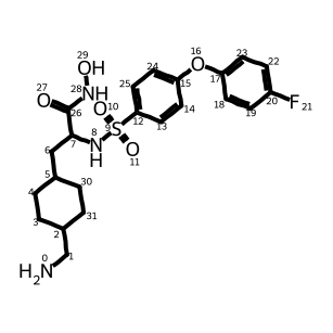 NCC1CCC(CC(NS(=O)(=O)c2ccc(Oc3ccc(F)cc3)cc2)C(=O)NO)CC1